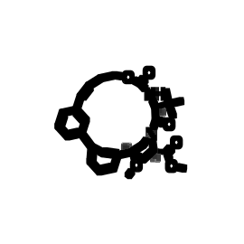 COC(=O)[C@@H]1C[C@]2(OC)CN1C(=O)[C@H](C(C)(C)C)NC(=O)OCCC=Cc1cccc(c1)-c1cccc2c1